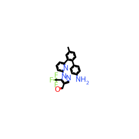 Cc1ccc(-c2ccc(N)cc2)c(-c2cccc(-n3ncc(C=O)c3C(F)(F)F)n2)c1